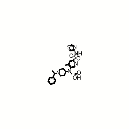 Cc1cc(S(=O)(=O)Nc2cscn2)ncc1N(C)C1CCN(C(C)c2ccccc2)CC1.O=CO